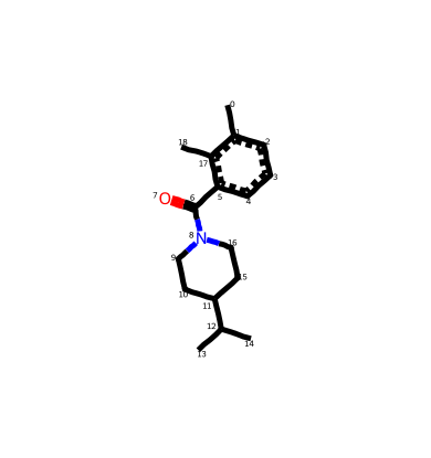 Cc1cccc(C(=O)N2CCC(C(C)C)CC2)c1C